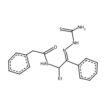 CCC([AsH]C(=O)Cc1ccccc1)C(=NNC(N)=S)c1ccccc1